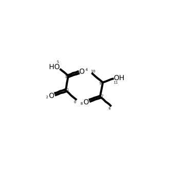 CC(=O)C(=O)O.CC(=O)C(C)O